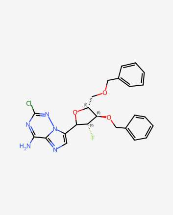 Nc1nc(Cl)nn2c(C3O[C@H](COCc4ccccc4)[C@@H](OCc4ccccc4)[C@@H]3F)cnc12